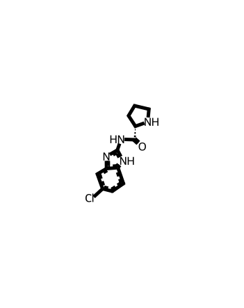 O=C(Nc1nc2cc(Cl)ccc2[nH]1)[C@@H]1CCCN1